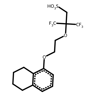 O=S(=O)(O)CC(OCCOc1cccc2c1CCCC2)(C(F)(F)F)C(F)(F)F